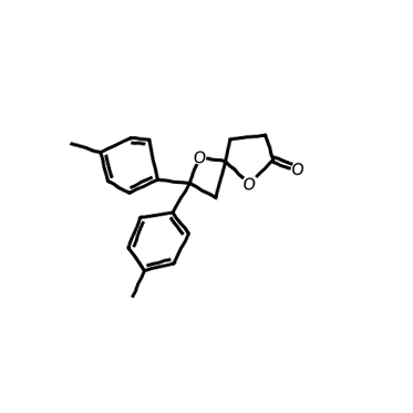 Cc1ccc(C2(c3ccc(C)cc3)CC3(CCC(=O)O3)O2)cc1